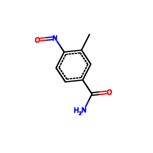 Cc1cc(C(N)=O)ccc1N=O